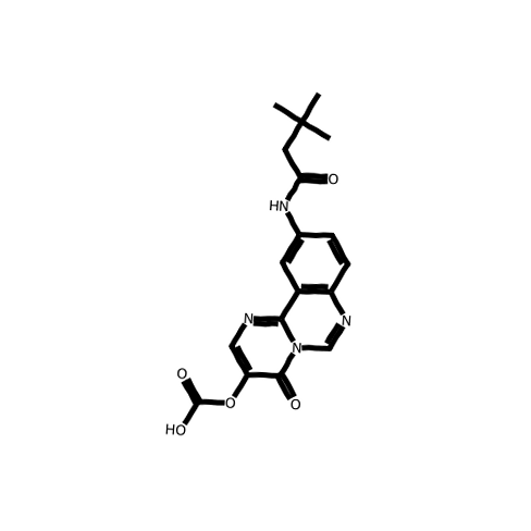 CC(C)(C)CC(=O)Nc1ccc2ncn3c(=O)c(OC(=O)O)cnc3c2c1